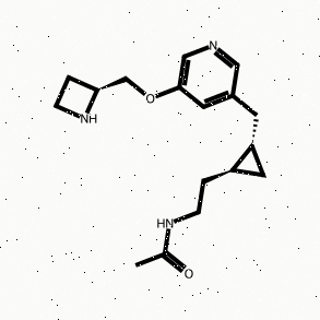 CC(=O)NCC[C@@H]1C[C@H]1Cc1cncc(OC[C@@H]2CCN2)c1